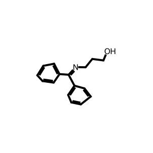 OCCCN=C(c1ccccc1)c1ccccc1